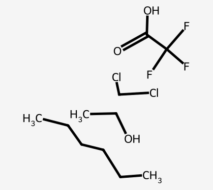 CCCCCC.CCO.ClCCl.O=C(O)C(F)(F)F